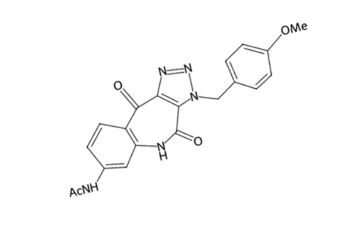 COc1ccc(Cn2nnc3c(=O)c4ccc(NC(C)=O)cc4[nH]c(=O)c32)cc1